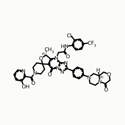 C[C@H]1OC2(CCN(C(=O)c3ncccc3O)CC2)c2c1n(CC(=O)Nc1ccc(C(F)(F)F)cc1Cl)c1nc(-c3ccc(N4CCN5C(=O)COC[C@H]5C4)cc3)nn1c2=O